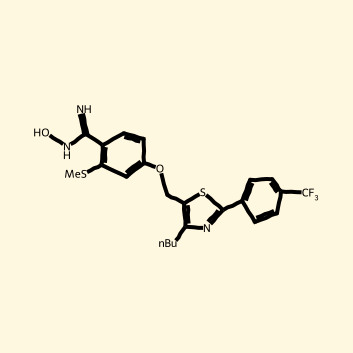 CCCCc1nc(-c2ccc(C(F)(F)F)cc2)sc1COc1ccc(C(=N)NO)c(SC)c1